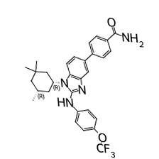 C[C@H]1C[C@@H](n2c(Nc3ccc(OC(F)(F)F)cc3)nc3cc(-c4ccc(C(N)=O)cc4)ccc32)CC(C)(C)C1